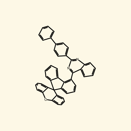 c1ccc(-c2ccc(-c3nc(-c4cccc5c4-c4ccccc4C54c5ccccc5Oc5ccccc54)c4ccccc4n3)cc2)cc1